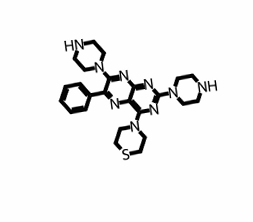 c1ccc(-c2nc3c(N4CCSCC4)nc(N4CCNCC4)nc3nc2N2CCNCC2)cc1